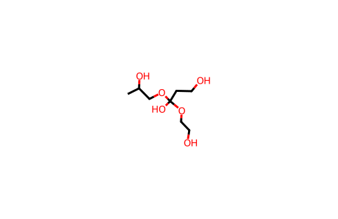 CC(O)COC(O)(CCO)OCCO